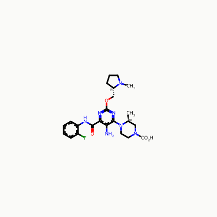 C[C@H]1CN(C(=O)O)CCN1c1nc(OC[C@@H]2CCCN2C)nc(C(=O)Nc2ccccc2F)c1N